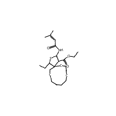 CCOC(=O)C1C(NC(=O)C=C(C)C)SC(CC)C12CCCCCCCCC2